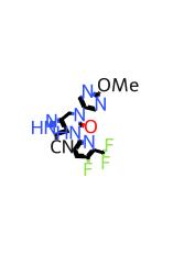 COc1ncc(N(Cc2cc(C#N)[nH]n2)C(=O)Nc2ccc(F)c(C(F)F)n2)cn1